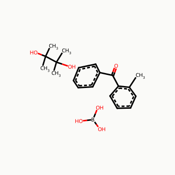 CC(C)(O)C(C)(C)O.Cc1ccccc1C(=O)c1ccccc1.OB(O)O